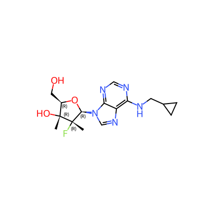 C[C@]1(F)[C@H](n2cnc3c(NCC4CC4)ncnc32)O[C@H](CO)[C@@]1(C)O